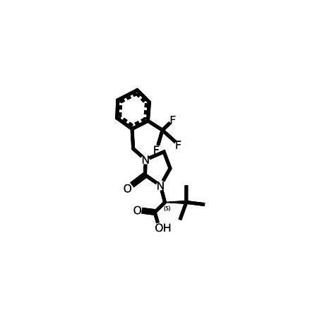 CC(C)(C)[C@@H](C(=O)O)N1CCN(Cc2ccccc2C(F)(F)F)C1=O